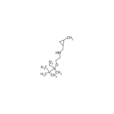 CC1CC1CNCCO[Si](C)(C)C(C)(C)C